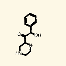 O=C(C1CNCC[N]1)C(O)c1ccccc1